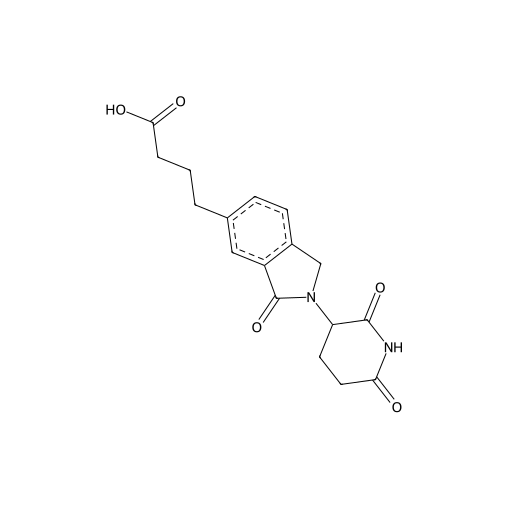 O=C(O)CCCc1ccc2c(c1)C(=O)N(C1CCC(=O)NC1=O)C2